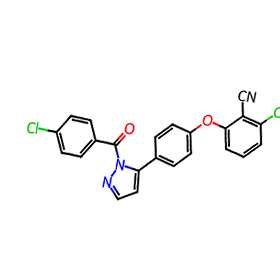 N#Cc1c(Cl)cccc1Oc1ccc(-c2ccnn2C(=O)c2ccc(Cl)cc2)cc1